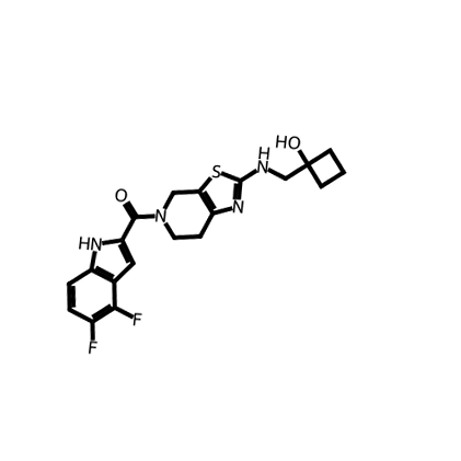 O=C(c1cc2c(F)c(F)ccc2[nH]1)N1CCc2nc(NCC3(O)CCC3)sc2C1